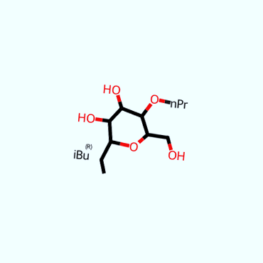 CCCOC1C(CO)OC(C(C)[C@H](C)CC)C(O)C1O